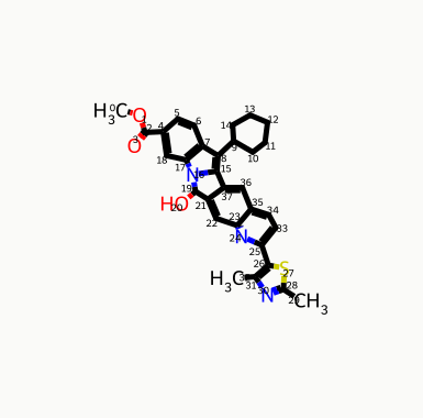 COC(=O)c1ccc2c(C3CCCCC3)c3n(c2c1)C(O)c1cc2nc(-c4sc(C)nc4C)ccc2cc1-3